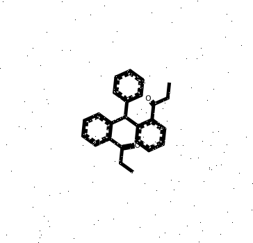 CCC(=O)c1ccccc1C(c1ccccc1)c1ccccc1C(=O)CC